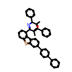 C=C(C)C(/N=C(\C(C)=C(/C)c1ccccc1)c1cccc2sc3cc(-c4ccc(-c5ccccc5)cc4)ccc3c12)c1ccccc1